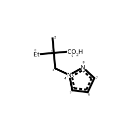 CCC(C)(Cn1cccn1)C(=O)O